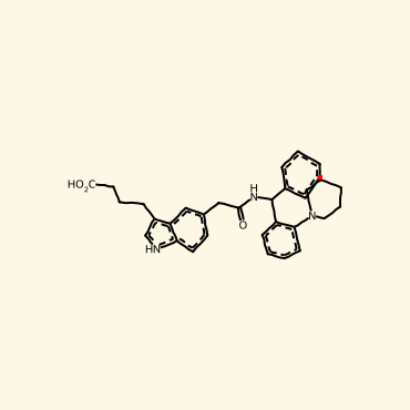 O=C(O)CCCc1c[nH]c2ccc(CC(=O)NC(c3ccccc3)c3ccccc3N3CCCCC3)cc12